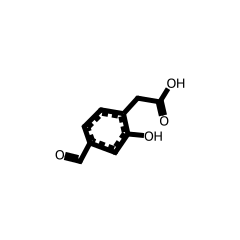 O=Cc1ccc(CC(=O)O)c(O)c1